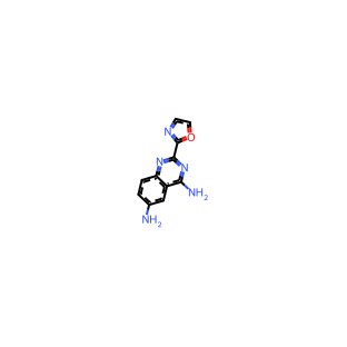 Nc1ccc2nc(-c3ncco3)nc(N)c2c1